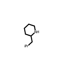 CC(C)CC1CCCCN1